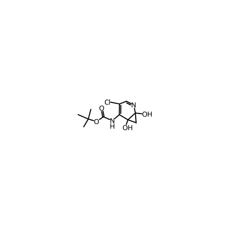 CC(C)(C)OC(=O)NC1=C(Cl)C=NC2(O)CC12O